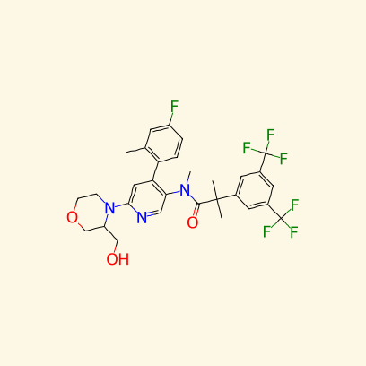 Cc1cc(F)ccc1-c1cc(N2CCOCC2CO)ncc1N(C)C(=O)C(C)(C)c1cc(C(F)(F)F)cc(C(F)(F)F)c1